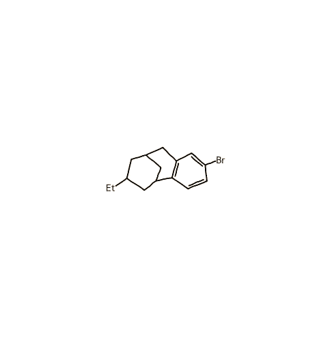 CCC1CC2Cc3cc(Br)ccc3C(C1)C2